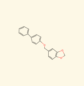 c1ccc(-c2ccc(OCc3ccc4c(c3)OCO4)cc2)cc1